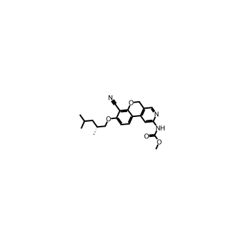 COC(=O)Nc1cc2c(cn1)COc1c-2ccc(OC[C@H](C)CC(C)C)c1C#N